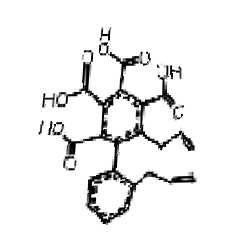 C=CCc1ccccc1-c1c(CC=C)c(C(=O)O)c(C(=O)O)c(C(=O)O)c1C(=O)O